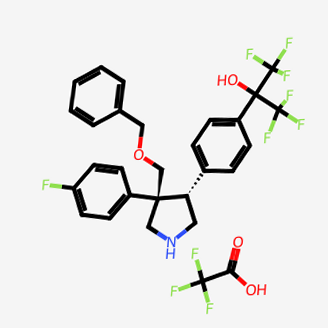 O=C(O)C(F)(F)F.OC(c1ccc([C@@H]2CNC[C@]2(COCc2ccccc2)c2ccc(F)cc2)cc1)(C(F)(F)F)C(F)(F)F